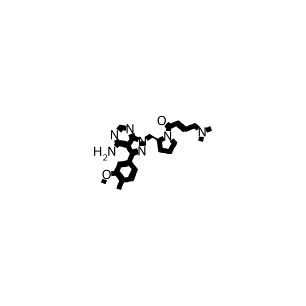 COc1cc(-c2nn(C[C@@H]3CCCN3C(=O)/C=C/CN(C)C)c3ncnc(N)c23)ccc1C